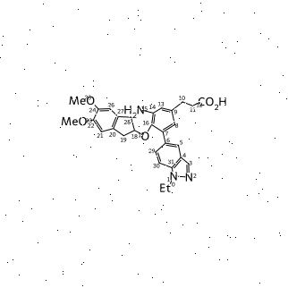 CCn1ncc2cc(-c3cc(CCC(=O)O)cc(N)c3OC3Cc4cc(OC)c(OC)cc4C3)ccc21